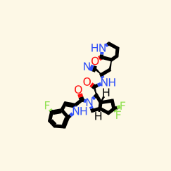 N#C[C@@H](C[C@@H]1CCCNC1=O)NC(=O)[C@H]1[C@@H]2CC(F)(F)C[C@@H]2CN1C(=O)c1cc2c(F)cccc2[nH]1